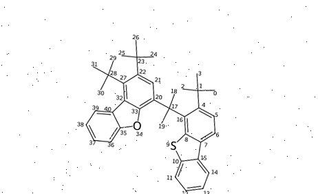 CC(C)(C)c1ccc2c(sc3ccccc32)c1C(C)(C)c1cc(C(C)(C)C)c(C(C)(C)C)c2c1oc1ccccc12